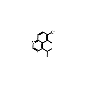 Cc1c(Cl)ccc2nc[c]c(C(C)C)c12